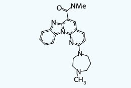 CNC(=O)c1cc2ccc(N3CCCN(C)CC3)nc2n2c1nc1ccccc12